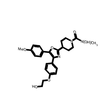 COc1ccc(-c2oc(C3CCN(C(=O)N(C)O)CC3)nc2-c2ccc(OCCO)cc2)cc1